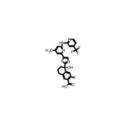 Cc1cc(Nc2cc(C(F)(F)F)ccn2)nc(-c2cnc([C@@]3(O)CCCc4cc(C(=O)O)c(F)cc43)s2)c1